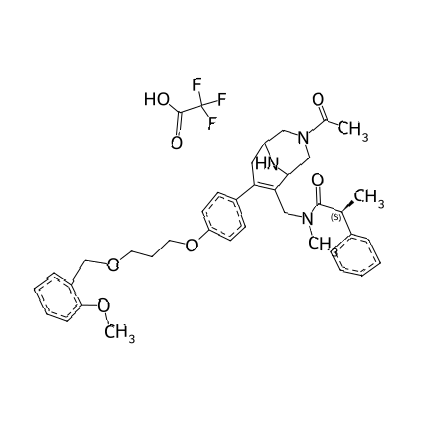 COc1ccccc1COCCCOc1ccc(C2=C(CN(C)C(=O)[C@@H](C)c3ccccc3)C3CN(C(C)=O)CC(C2)N3)cc1.O=C(O)C(F)(F)F